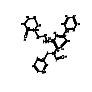 O=CN(Cc1cccnc1)c1ccc(-c2ccccc2)nc1NCCN1CCCCC1=O